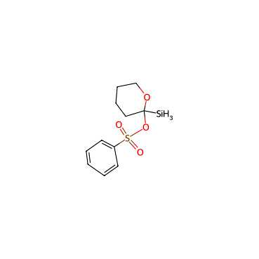 O=S(=O)(OC1([SiH3])CCCCO1)c1ccccc1